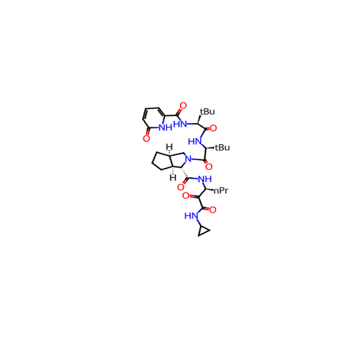 CCC[C@H](NC(=O)[C@@H]1[C@H]2CCC[C@H]2CN1C(=O)[C@@H](NC(=O)[C@@H](NC(=O)c1cccc(=O)[nH]1)C(C)(C)C)C(C)(C)C)C(=O)C(=O)NC1CC1